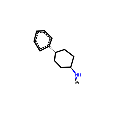 CC(C)N[C@H]1CC[C@H](c2ccccc2)CC1